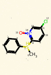 C[SH](c1ccccc1)c1ccc(Cl)c[n+]1[O-]